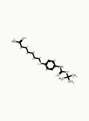 CC(C)(C)OC(=O)Nc1ccc(SCCCCCCC(=O)O)cc1